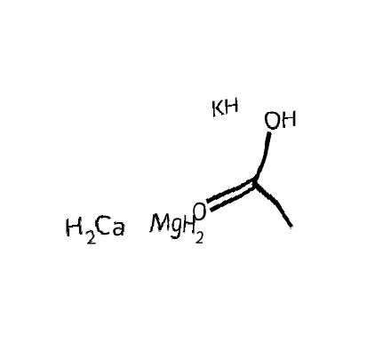 CC(=O)O.[CaH2].[KH].[MgH2]